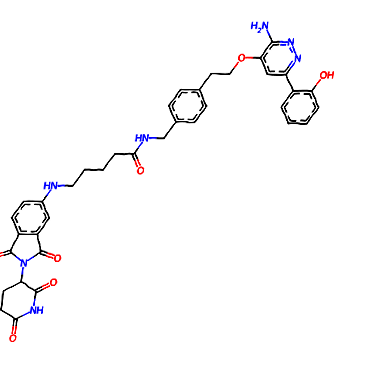 Nc1nnc(-c2ccccc2O)cc1OCCc1ccc(CNC(=O)CCCCNc2ccc3c(c2)C(=O)N(C2CCC(=O)NC2=O)C3=O)cc1